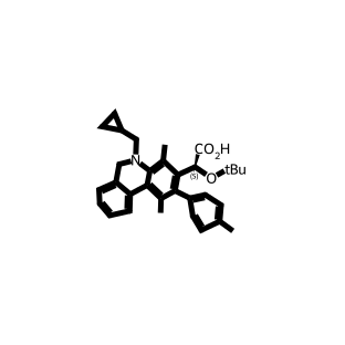 Cc1ccc(-c2c(C)c3c(c(C)c2[C@H](OC(C)(C)C)C(=O)O)N(CC2CC2)Cc2ccccc2-3)cc1